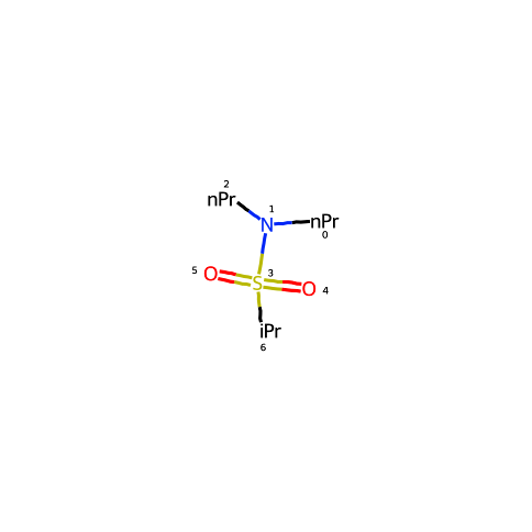 CCCN(CCC)S(=O)(=O)C(C)C